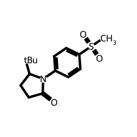 CC(C)(C)C1CCC(=O)N1c1ccc(S(C)(=O)=O)cc1